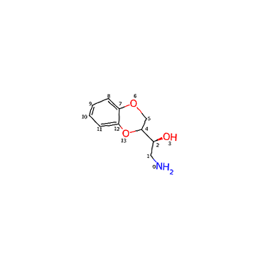 NC[C@H](O)C1COc2ccccc2O1